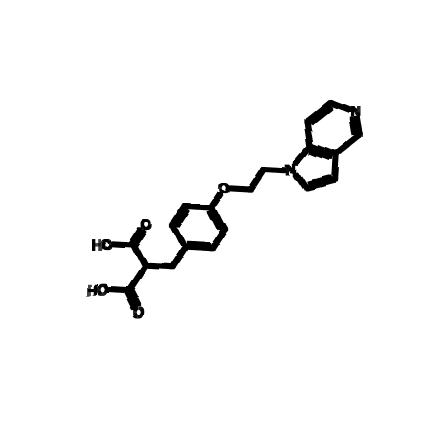 O=C(O)C(Cc1ccc(OCCn2ccc3cnccc32)cc1)C(=O)O